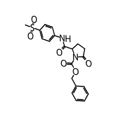 CS(=O)(=O)c1ccc(NC(=O)C2CCC(=O)N2C(=O)OCc2ccccc2)cc1